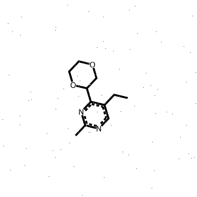 CCc1cnc(C)nc1C1COCCO1